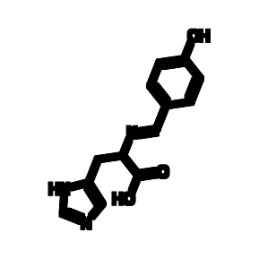 O=C(O)C(Cc1cnc[nH]1)N=Cc1ccc(O)cc1